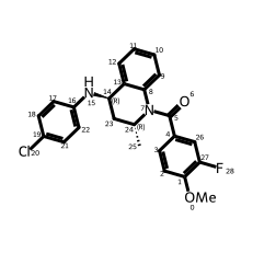 COc1ccc(C(=O)N2c3ccccc3[C@H](Nc3ccc(Cl)cc3)C[C@H]2C)cc1F